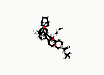 COCOc1ccccc1-c1cc(N2CC3CCC(C2)N3c2ccnc(C#CC3CCN(C(=O)OC(C)(C)C)CC3)c2)c(N)nn1